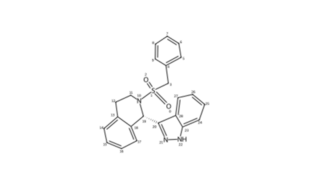 O=S(=O)(Cc1ccccc1)N1CCc2ccccc2[C@H]1c1n[nH]c2ccccc12